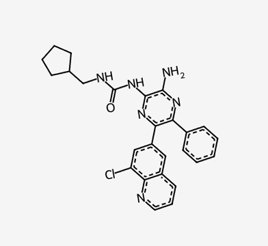 Nc1nc(-c2ccccc2)c(-c2cc(Cl)c3ncccc3c2)nc1NC(=O)NCC1CCCC1